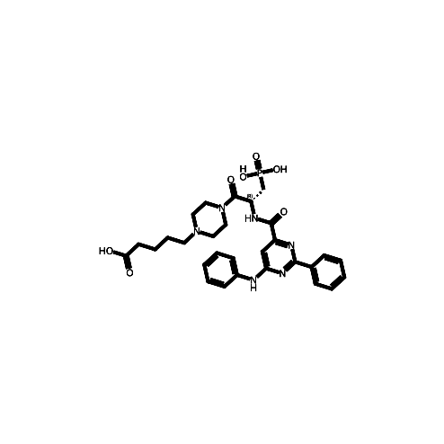 O=C(O)CCCCN1CCN(C(=O)[C@H](CP(=O)(O)O)NC(=O)c2cc(Nc3ccccc3)nc(-c3ccccc3)n2)CC1